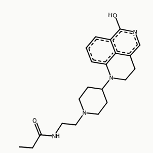 CCC(=O)NCCN1CCC(N2CCc3cnc(O)c4cccc2c34)CC1